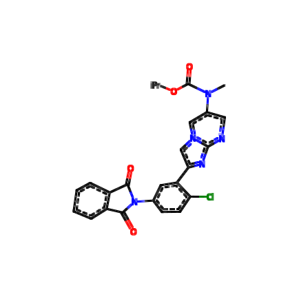 CC(C)OC(=O)N(C)c1cnc2nc(-c3cc(N4C(=O)c5ccccc5C4=O)ccc3Cl)cn2c1